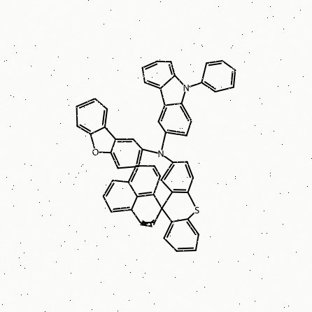 c1ccc(-n2c3ccccc3c3cc(N(c4ccc5c(c4)C4(c6ccccc6S5)c5ccccc5-c5cccc6cccc4c56)c4ccc5oc6ccccc6c5c4)ccc32)cc1